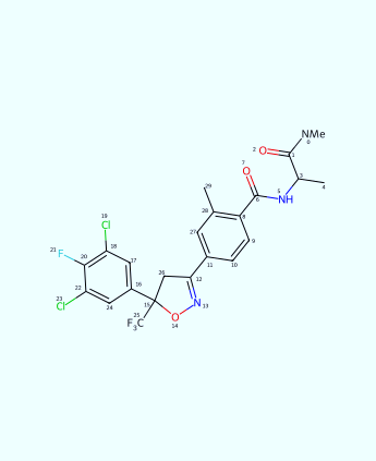 CNC(=O)C(C)NC(=O)c1ccc(C2=NOC(c3cc(Cl)c(F)c(Cl)c3)(C(F)(F)F)C2)cc1C